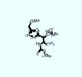 CCCCO.COCc1nnc(C(O)C(C)NC(=O)OC(C)(C)C)o1